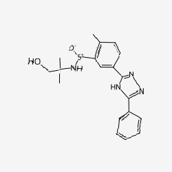 Cc1ccc(-c2nnc(-c3ccccc3)[nH]2)cc1[S+]([O-])NC(C)(C)CO